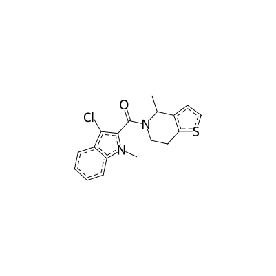 CC1c2ccsc2CCN1C(=O)c1c(Cl)c2ccccc2n1C